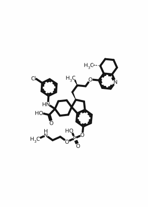 CNCCOP(=O)(O)Oc1ccc2c(c1)C1(CCC(Nc3cccc(Cl)c3)(C(=O)O)CC1)[C@@H](C[C@@H](C)COc1ccnc3c1[C@H](C)CCC3)C2